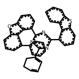 C1=CCCC(c2nc(-c3cccc4sc5ccccc5c34)nc(-c3cccc4oc5cccc(-c6ccccc6)c5c34)n2)=C1